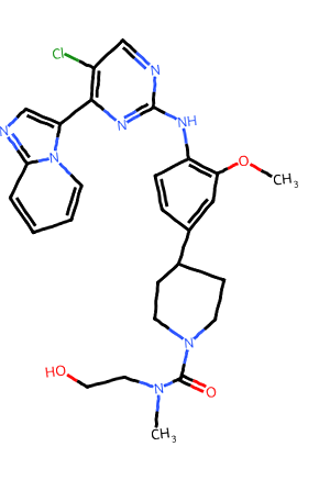 COc1cc(C2CCN(C(=O)N(C)CCO)CC2)ccc1Nc1ncc(Cl)c(-c2cnc3ccccn23)n1